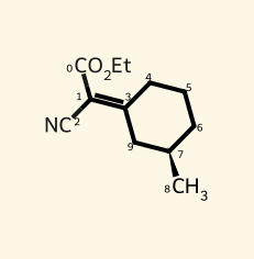 CCOC(=O)C(C#N)=C1CCC[C@@H](C)C1